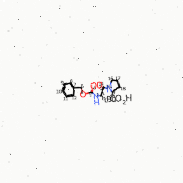 CC(C)(C)C(NC(=O)OCc1ccccc1)C(=O)N1CCC[C@H]1C(=O)O